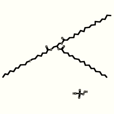 CCCCCCCCCCCCCCCCCC(=O)OCC(COC(=O)CCCCCCCCCCCCCCCCC)OC(=O)CCCCCCCCCCCCCCCCC.O=S(=O)(O)OO